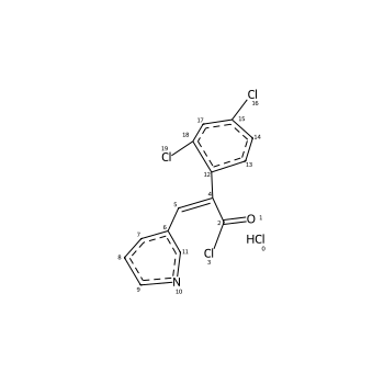 Cl.O=C(Cl)C(=Cc1cccnc1)c1ccc(Cl)cc1Cl